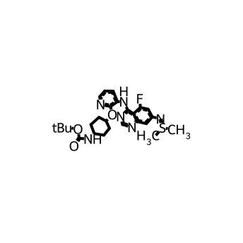 CS(C)=Nc1cc(F)c2c(Nc3cccnc3OC3CCC(NC(=O)OC(C)(C)C)CC3)ncnc2c1